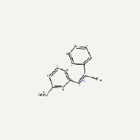 COc1cccc(/C=C(/F)c2cc[c]cc2)c1